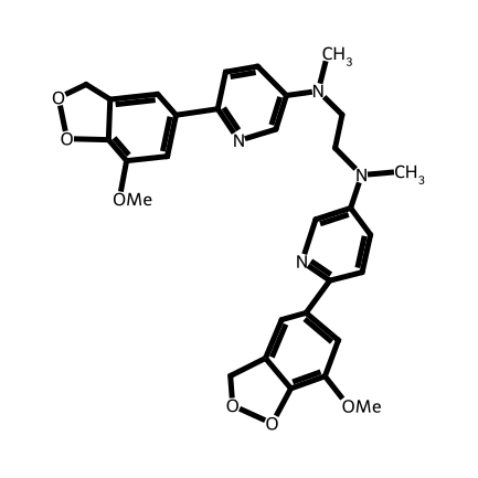 COc1cc(-c2ccc(N(C)CCN(C)c3ccc(-c4cc5c(c(OC)c4)OOC5)nc3)cn2)cc2c1OOC2